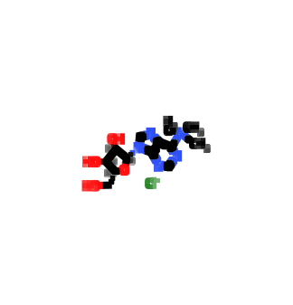 C[N+](C)(C)c1ncnc2c1ncn2[C@@H]1O[C@H](CO)[C@@H](O)[C@H]1O.[Cl-]